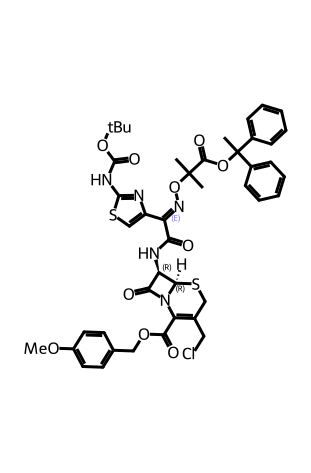 COc1ccc(COC(=O)C2=C(CCl)CS[C@@H]3[C@H](NC(=O)/C(=N/OC(C)(C)C(=O)OC(C)(c4ccccc4)c4ccccc4)c4csc(NC(=O)OC(C)(C)C)n4)C(=O)N23)cc1